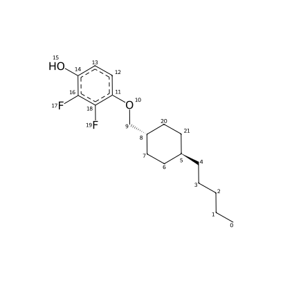 CCCCC[C@H]1CC[C@H](COc2ccc(O)c(F)c2F)CC1